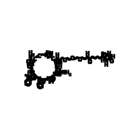 CC(C)C[C@H]1NC(=O)[C@@H](CC(N)=O)NC(=O)[C@@H](NC(=O)COCCOCCOCCNC(=O)CCCCC2SC[C@H]3NC(=O)N[C@@H]23)Cc2cn(nn2)CCCC[C@@H](C(N)=O)NC(=O)[C@@H](C)NC(=O)[C@H](Cc2cn(C)c3ccccc23)NC(=O)[C@@H](Cc2ccccc2)NC1=O